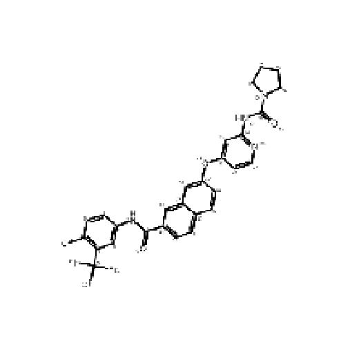 O=C(Nc1ccc(Cl)c(C(F)(F)F)c1)c1ccc2ccc(Oc3ccnc(NC(=O)N4CCCC4)c3)cc2c1